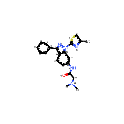 CCc1csc(-n2nc(-c3ccccc3)c3ccc(NC(=O)CN(C)C)cc32)n1